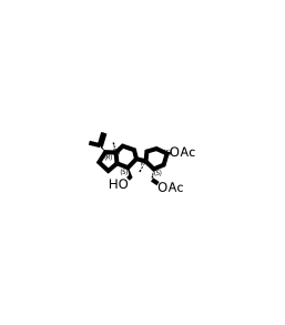 C=C(C)[C@H]1CCC2[C@H](CO)C([C@@]3(C)CC[C@H](OC(C)=O)C[C@@H]3COC(C)=O)CC[C@@]21C